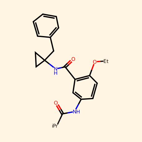 CCOc1ccc(NC(=O)C(C)C)cc1C(=O)NC1(Cc2ccccc2)CC1